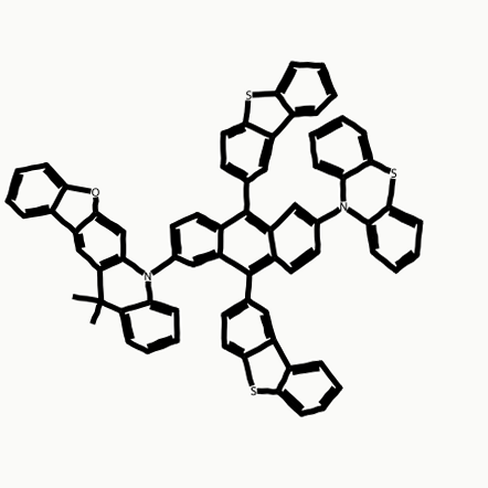 CC1(C)c2ccccc2N(c2ccc3c(-c4ccc5sc6ccccc6c5c4)c4cc(N5c6ccccc6Sc6ccccc65)ccc4c(-c4ccc5sc6ccccc6c5c4)c3c2)c2cc3oc4ccccc4c3cc21